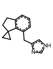 c1cc2c(c(Cc3c[nH]cn3)c1)C1(CC2)CC1